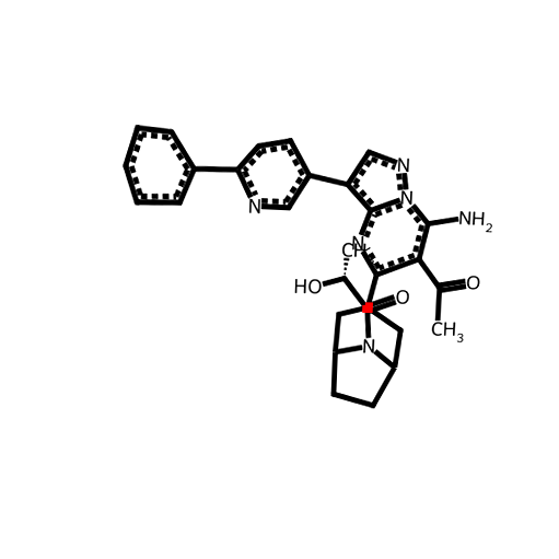 CC(=O)c1c(C2CC3CCC(C2)N3C(=O)[C@@H](C)O)nc2c(-c3ccc(-c4ccccc4)nc3)cnn2c1N